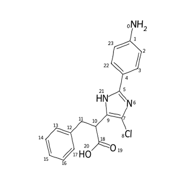 Nc1ccc(-c2nc(Cl)c(C(Cc3ccccc3)C(=O)O)[nH]2)cc1